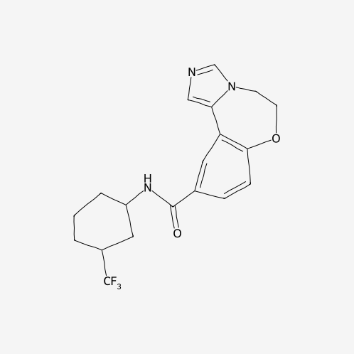 O=C(NC1CCCC(C(F)(F)F)C1)c1ccc2c(c1)-c1cncn1CCO2